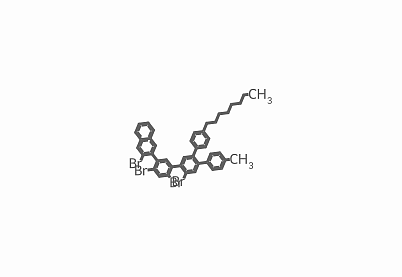 CCCCCCCCc1ccc(-c2cc(-c3cc(-c4cc5ccccc5cc4Br)c(Br)cc3Br)c(Br)cc2-c2ccc(C)cc2)cc1